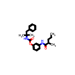 CCCC(C)C(=O)Nc1cccc(OC(=O)NC(C)(C)Cc2ccccc2)c1